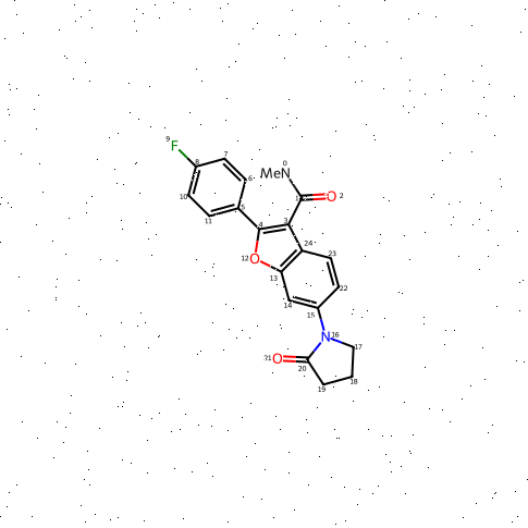 CNC(=O)c1c(-c2ccc(F)cc2)oc2cc(N3CCCC3=O)ccc12